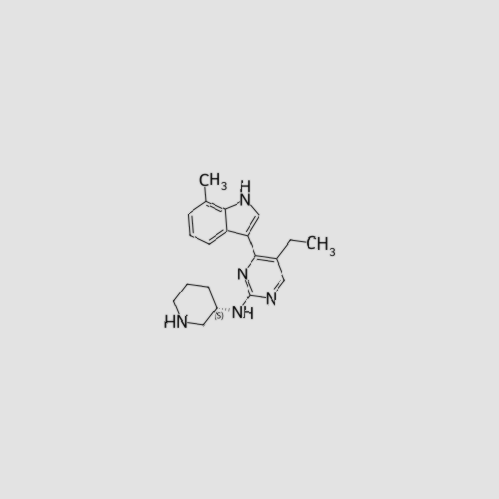 CCc1cnc(N[C@H]2CCCNC2)nc1-c1c[nH]c2c(C)cccc12